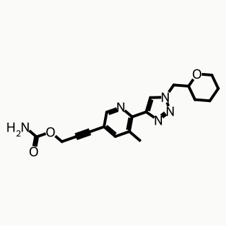 Cc1cc(C#CCOC(N)=O)cnc1-c1cn(CC2CCCCO2)nn1